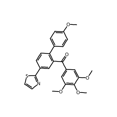 COc1ccc(-c2ccc(-c3nccs3)cc2C(=O)c2cc(OC)c(OC)c(OC)c2)cc1